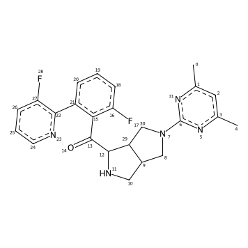 Cc1cc(C)nc(N2CC3CNC(C(=O)c4c(F)cccc4-c4ncccc4F)C3C2)n1